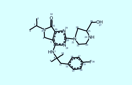 CC(C)N1Cc2c(NC(C)(C)Cc3ccc(F)cc3)nc(N3CCNC(CO)C3)nc2C1=O